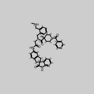 CNCc1ccccc1CN(CC(=O)Nc1ccc2c(c1)CC1(C2)C(=O)Nc2ncccc21)C(=O)C1(C)CCN(C(=O)c2ccncc2)CC1